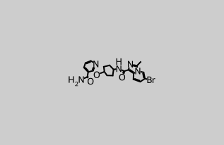 Cc1nc(C(=O)NC2CCC(Oc3ncccc3C(N)=O)CC2)c2ccc(Br)cn12